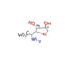 NC(C(=O)O)C1OC[C@H](O)[C@H]1O